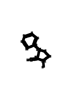 CN1CCN(c2ccccc2)C1=O